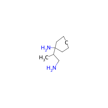 CC(CN)C1(N)CCCCC1